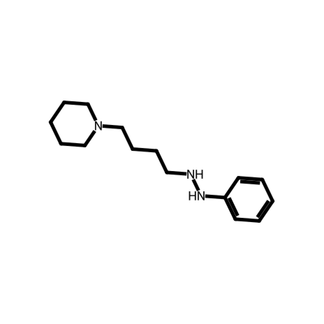 c1ccc(NNCCCCN2CCCCC2)cc1